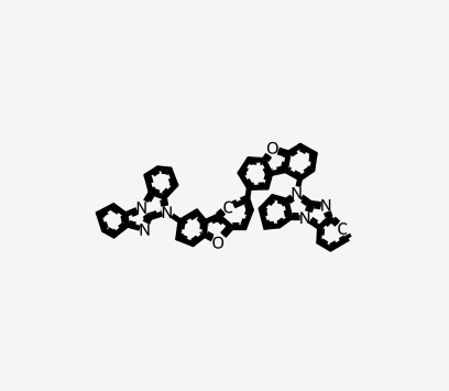 c1ccc2c(c1)nc1n(-c3ccc4oc5ccc(-c6ccc7oc8cccc(-n9c%10ccccc%10n%10c%11ccccc%11nc9%10)c8c7c6)cc5c4c3)c3ccccc3n21